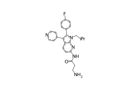 CC(C)Cn1c(-c2ccc(F)cc2)c(-c2ccncc2)c2ccc(NC(=O)CCN)nc21